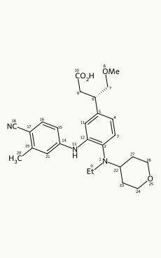 CCN(c1ccc([C@@H](COC)CC(=O)O)cc1Nc1ccc(C#N)c(C)c1)C1CCOCC1